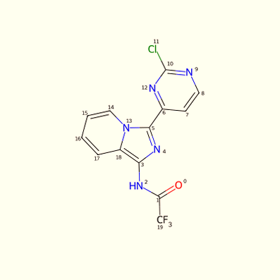 O=C(Nc1nc(-c2ccnc(Cl)n2)n2ccccc12)C(F)(F)F